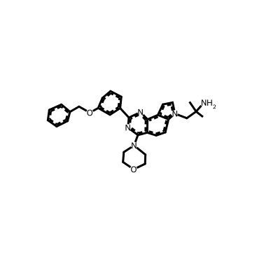 CC(C)(N)Cn1ccc2c3nc(-c4cccc(OCc5ccccc5)c4)nc(N4CCOCC4)c3ccc21